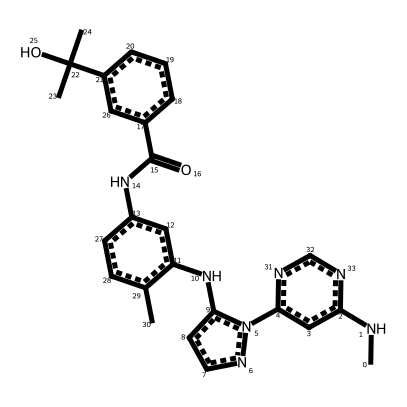 CNc1cc(-n2nccc2Nc2cc(NC(=O)c3cccc(C(C)(C)O)c3)ccc2C)ncn1